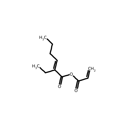 C=CC(=O)OC(=O)C(=CCCC)CC